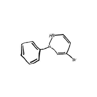 BrC1=CN(c2ccccc2)NC=C1